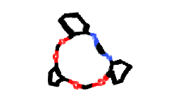 C1=Nc2ccccc2OCOc2cccc(c2)OCOc2ccccc2N=1